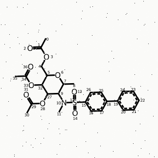 CC(=O)OCC1OC(C)C(N(C)S(=O)(=O)c2ccc(-c3ccccc3)cc2)C(OC(C)=O)C1OC(C)=O